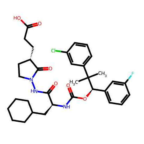 CC(C)(c1cccc(Cl)c1)[C@H](OC(=O)N[C@@H](CC1CCCCC1)C(=O)NN1CC[C@H](CCC(=O)O)C1=O)c1cccc(F)c1